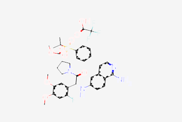 COC(=O)[C@H]1CCN(C(=O)[C@H](Nc2ccc3c(N)nccc3c2)c2cc(OC)c(OC)cc2F)[C@H]1c1ccccc1S(=O)(=O)C(C)C.O=C(O)C(F)(F)F